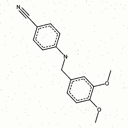 COc1ccc(C[N]c2ccc(C#N)cc2)cc1OC